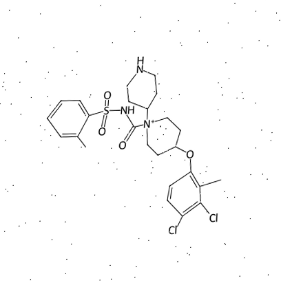 Cc1ccccc1S(=O)(=O)NC(=O)[N+]1(C2CCNCC2)CCC(Oc2ccc(Cl)c(Cl)c2C)CC1